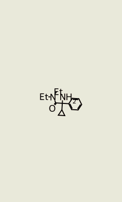 CCN(CC)C(=O)C(N)(c1ccccc1)C1CC1